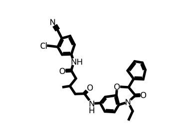 CCN1C(=O)C(c2ccccc2)Oc2cc(NC(=O)CC(C)CC(=O)Nc3ccc(C#N)c(Cl)c3)ccc21